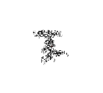 CC(C)(C)c1ccc(N(c2ccc(C(C)(C)C)cc2)c2ccc3c4c(ccc3c2)-c2c(c3ccc(N(c5ccc(C(C)(C)C)cc5)c5ccc(C(C)(C)C)cc5)cc3c3c2oc2ccccc23)C42c3ccccc3-c3ccccc32)cc1